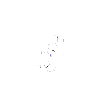 C/C=C\C(C#N)=CC/C=C(\C)C(C)(C)CCNCC